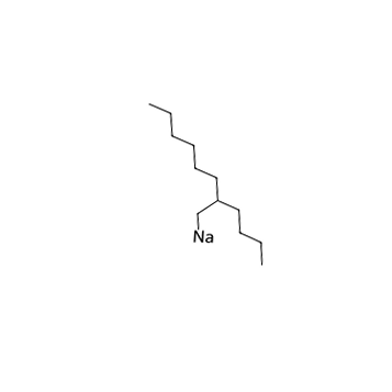 CCCCCCC([CH2][Na])CCCC